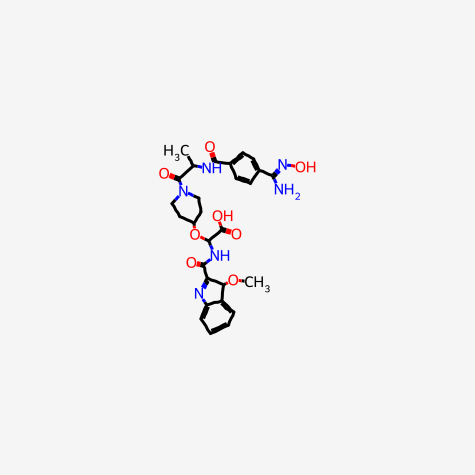 COC1C(C(=O)NC(OC2CCN(C(=O)C(C)NC(=O)c3ccc(/C(N)=N/O)cc3)CC2)C(=O)O)=Nc2ccccc21